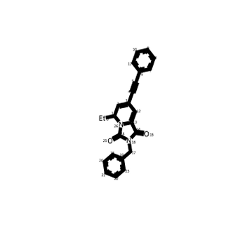 CCC1C=C(C#Cc2ccccc2)C=C2C(=O)N(Cc3ccccc3)C(=O)N21